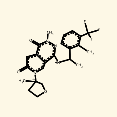 Cc1c(C(C)Nc2nn(C)c(=O)c3cc(=O)n([C@@]4(C)CCOC4)cc23)cccc1C(F)(F)F